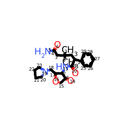 CC(C)(CC(N)=O)CC(C(=O)NC1C(=O)COC1CN1CCCC1)c1ccccc1